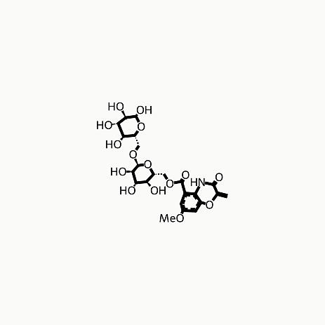 C=C1Oc2cc(OC)cc(C(=O)OC[C@H]3O[C@H](OC[C@H]4O[C@H](O)[C@H](O)[C@@H](O)[C@@H]4O)[C@H](O)[C@@H](O)[C@@H]3O)c2NC1=O